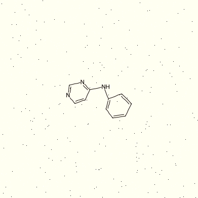 [c]1cncnc1Nc1ccccc1